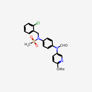 COc1ccc(N(C=O)c2ccc(N(Cc3ccccc3Cl)S(C)(=O)=O)cc2)cn1